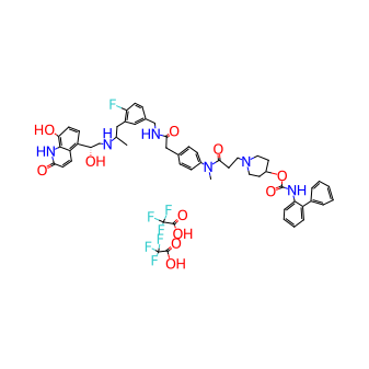 CC(Cc1cc(CNC(=O)Cc2ccc(N(C)C(=O)CCN3CCC(OC(=O)Nc4ccccc4-c4ccccc4)CC3)cc2)ccc1F)NC[C@H](O)c1ccc(O)c2[nH]c(=O)ccc12.O=C(O)C(F)(F)F.O=C(O)C(F)(F)F